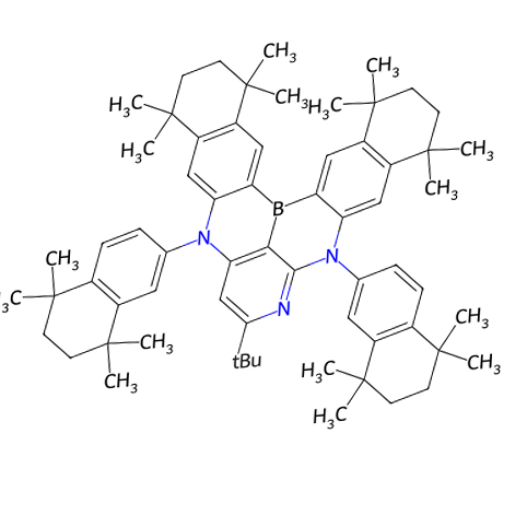 CC(C)(C)c1cc2c3c(n1)N(c1ccc4c(c1)C(C)(C)CCC4(C)C)c1cc4c(cc1B3c1cc3c(cc1N2c1ccc2c(c1)C(C)(C)CCC2(C)C)C(C)(C)CCC3(C)C)C(C)(C)CCC4(C)C